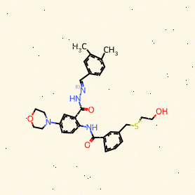 Cc1ccc(/C=N/NC(=O)c2cc(N3CCOCC3)ccc2NC(=O)c2cccc(CSCCO)c2)cc1C